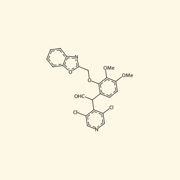 COc1ccc(C(C=O)c2c(Cl)cncc2Cl)c(OCc2nc3ccccc3o2)c1OC